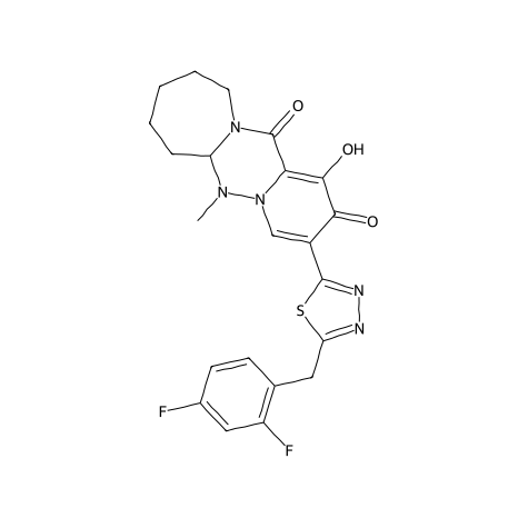 CN1C2CCCCCN2C(=O)c2c(O)c(=O)c(-c3nnc(Cc4ccc(F)cc4F)s3)cn21